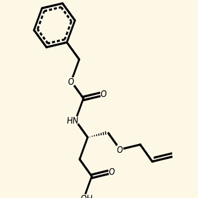 C=CCOC[C@H](CC(=O)O)NC(=O)OCc1ccccc1